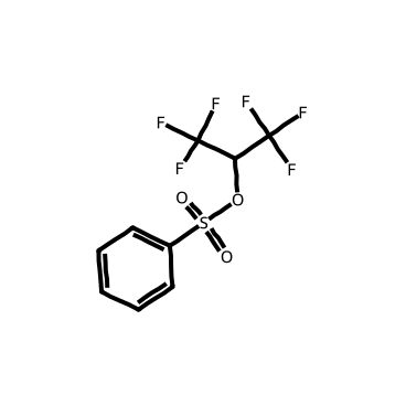 O=S(=O)(OC(C(F)(F)F)C(F)(F)F)c1ccccc1